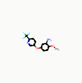 COc1ccc(Oc2ccc(C(F)(F)F)nc2)cc1N